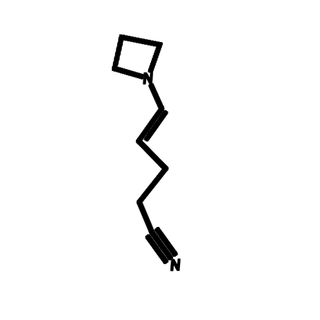 N#CCCC=CN1CCC1